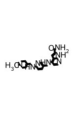 CN1CCC(CNc2ccc(CNc3ccnc4[nH]c(C(N)=O)cc34)cn2)CC1